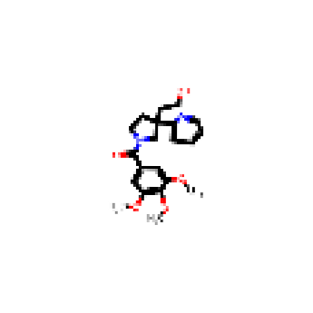 COc1cc(C(=O)N2CCC(CCO)(c3ccccn3)C2)cc(OC)c1OC